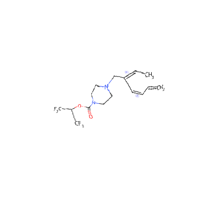 C=C/C=C\C(=C/C)CN1CCN(C(=O)OC(C(F)(F)F)C(F)(F)F)CC1